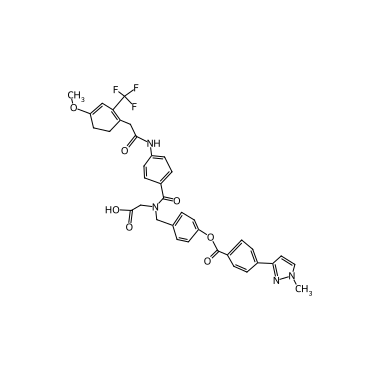 COC1=CC(C(F)(F)F)=C(CC(=O)Nc2ccc(C(=O)N(CC(=O)O)Cc3ccc(OC(=O)c4ccc(-c5ccn(C)n5)cc4)cc3)cc2)CC1